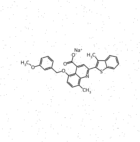 COc1cccc(COc2ccc(C)c3nc(-c4sc5ccccc5c4C)cc(C(=O)[O-])c23)c1.[Na+]